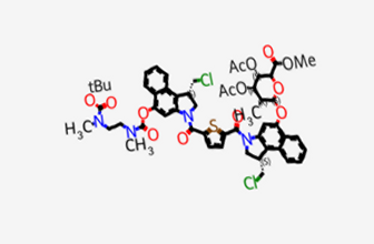 COC(=O)C1O[C@@H](Oc2cc3c(c4ccccc24)[C@H](CCl)CN3C(=O)c2ccc(C(=O)N3C[C@@H](CCl)c4c3cc(OC(=O)N(C)CCN(C)C(=O)OC(C)(C)C)c3ccccc43)s2)[C@H](C)[C@@H](OC(C)=O)[C@@H]1OC(C)=O